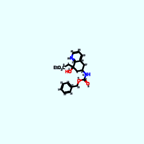 CCOC(=O)CC1(O)CC(NC(=O)OCc2ccccc2)Cc2cccnc21